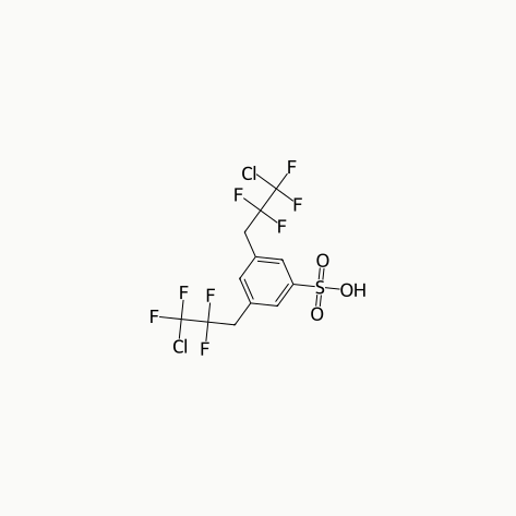 O=S(=O)(O)c1cc(CC(F)(F)C(F)(F)Cl)cc(CC(F)(F)C(F)(F)Cl)c1